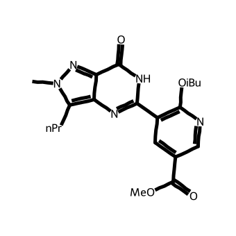 CCCc1c2nc(-c3cc(C(=O)OC)cnc3OCC(C)C)[nH]c(=O)c2nn1C